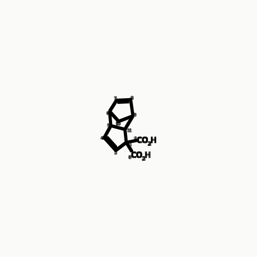 O=C(O)C1(C(=O)O)C=CC2C3C=CC(C3)C21